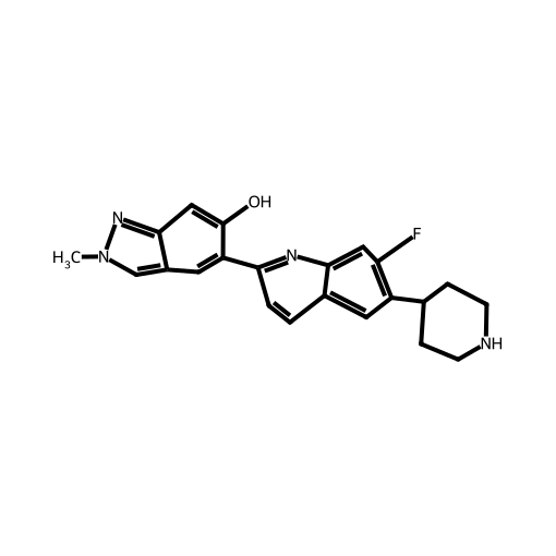 Cn1cc2cc(-c3ccc4cc(C5CCNCC5)c(F)cc4n3)c(O)cc2n1